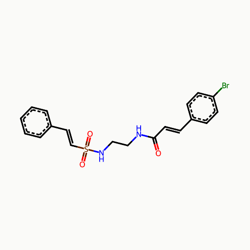 O=C(C=Cc1ccc(Br)cc1)NCCNS(=O)(=O)C=Cc1ccccc1